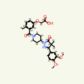 COc1ccc(C2=NN(C3CCN(C(=O)c4cc(OCC(=O)O)ccc4C)CC3)C(=O)C2(C)C)cc1OC